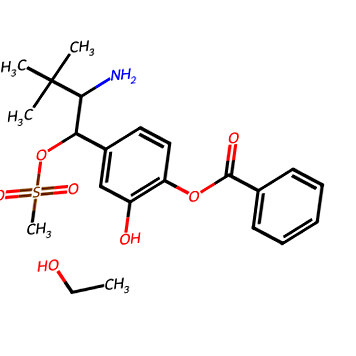 CC(C)(C)C(N)C(OS(C)(=O)=O)c1ccc(OC(=O)c2ccccc2)c(O)c1.CCO